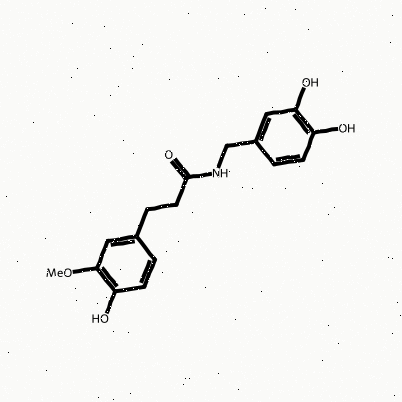 COc1cc(CCC(=O)NCc2ccc(O)c(O)c2)ccc1O